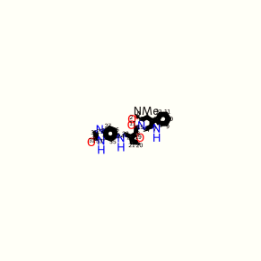 CNC(=O)[C@H]1Cc2c([nH]c3ccccc23)CN1C(=O)c1occc1CNc1ccc2ncc(=O)[nH]c2c1